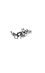 C[C@H](O)[C@@H]1C(O)CCN1C(=O)Nc1ccc(C#N)c(Cl)c1F